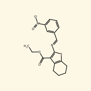 CCOC(=O)c1c(/N=C/c2cccc([N+](=O)[O-])c2)sc2c1CCCC2